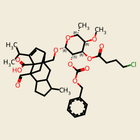 CO[C@H]1[C@@H](OC(=O)CCCCl)[C@H](OC(=O)OCc2ccccc2)[C@H](OCC23CC4C(C)CCC4C4(C=O)CC2C=C(C(C)C)C43C(=O)O)O[C@@H]1C